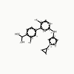 OC(O)c1ccc(-c2nc(Nc3cnn(C4CC4)c3)ncc2F)cc1F